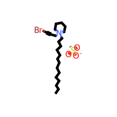 CCCCCCCCCCCCCC[N+]1(CC#CBr)CCCCC1.CS(=O)(=O)[O-]